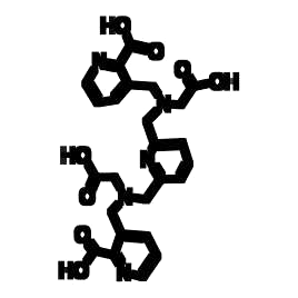 O=C(O)CN(Cc1cccc(CN(CC(=O)O)Cc2cccnc2C(=O)O)n1)Cc1cccnc1C(=O)O